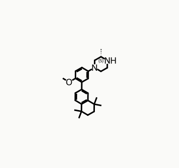 COc1ccc(N2CCN[C@@H](C)C2)cc1-c1ccc2c(c1)C(C)(C)CCC2(C)C